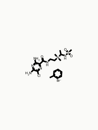 CC(NS(C)(=O)=O)[N+](C)(C)CCNC(=O)c1nc(Cl)c(N)nc1N.Cc1ccccc1.[Br-]